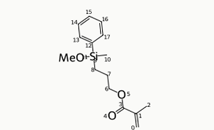 C=C(C)C(=O)OCCC[Si](C)(OC)c1ccccc1